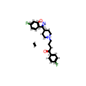 C=C.O=C(CCCN1CCC(c2noc3cc(F)ccc23)CC1)c1ccc(F)cc1